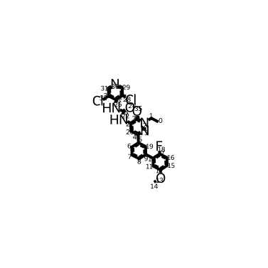 CCn1nc(-c2cccc(-c3cc(OC)ccc3F)c2)cc(NC(=O)Nc2c(Cl)cncc2Cl)c1=O